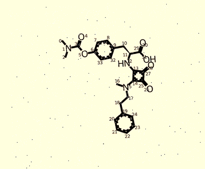 CN(C)C(=O)Oc1ccc(C[C@H](Nc2c(N(C)CCc3ccccc3)c(=O)c2=O)C(=O)O)cc1